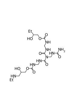 CCNCC(O)COC(=O)NCNC(=O)N(CNC(N)=O)C(=O)NCNC(=O)OCC(O)CC